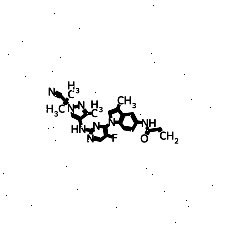 C=CC(=O)Nc1ccc2c(c1)c(C)cn2-c1nc(Nc2cn(C(C)(C)C#N)nc2C)ncc1F